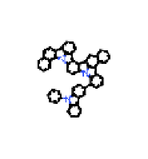 c1ccc(-n2c3ccccc3c3cc(-c4cccc5c6c7ccccc7cc7c8c9c%10cccc%11c%12ccc%13ccccc%13c%12n(c9ccc8n(c45)c76)c%11%10)ccc32)cc1